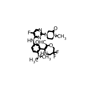 CN1CCN(c2ncc(F)c(Nc3ccc(N(C)C)c(C4=C(C=O)OCC(F)(F)CN4)c3)n2)CC1=O